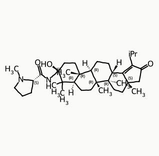 CC(C)C1=C2[C@H]3CC[C@@H]4[C@@]5(C)CC[C@@](O)(NC(=O)[C@@H]6CCCN6C)C(C)(C)[C@@H]5CC[C@@]4(C)[C@]3(C)CC[C@@]2(C)CC1=O